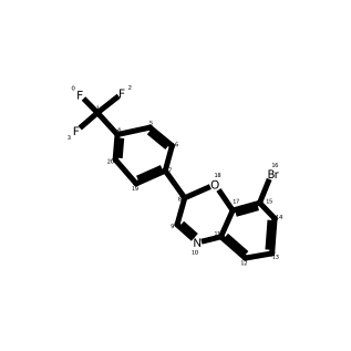 FC(F)(F)c1ccc(C2C=Nc3cccc(Br)c3O2)cc1